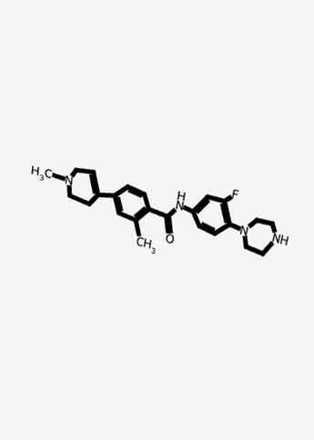 Cc1cc(C2=CCN(C)CC2)ccc1C(=O)Nc1ccc(N2CCNCC2)c(F)c1